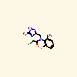 Cc1nc(CN(C(=O)CCl)c2c(C)cccc2C)n[nH]1